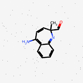 CC1(C=O)C=CC(N)=c2ccccc2=N1